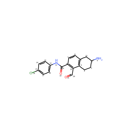 NC1CCc2c(ccc(C(=O)Nc3ccc(Cl)cc3)c2C=O)C1